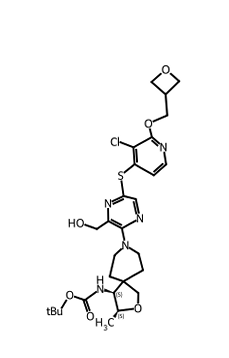 C[C@@H]1OCC2(CCN(c3ncc(Sc4ccnc(OCC5COC5)c4Cl)nc3CO)CC2)[C@@H]1NC(=O)OC(C)(C)C